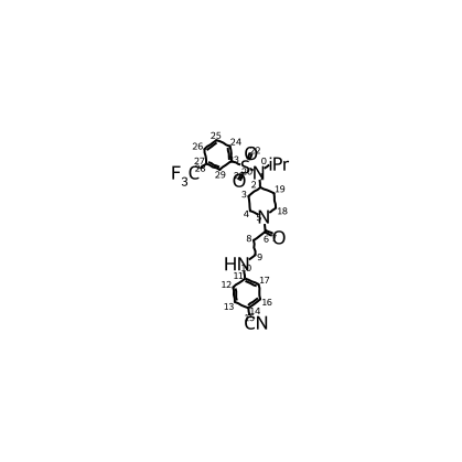 CC(C)N(C1CCN(C(=O)CCNc2ccc(C#N)cc2)CC1)S(=O)(=O)c1cccc(C(F)(F)F)c1